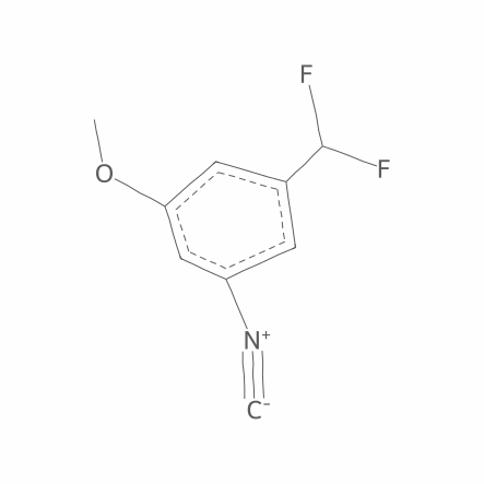 [C-]#[N+]c1cc(OC)cc(C(F)F)c1